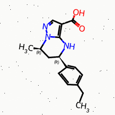 CCc1ccc([C@H]2C[C@@H](C)n3ncc(C(=O)O)c3N2)cc1